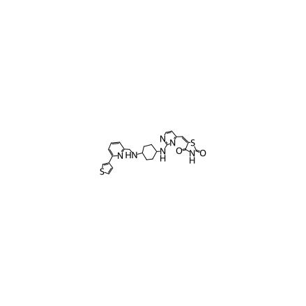 O=C1NC(=O)/C(=C\c2ccnc(NC3CCC(NCc4cccc(-c5ccsc5)n4)CC3)n2)S1